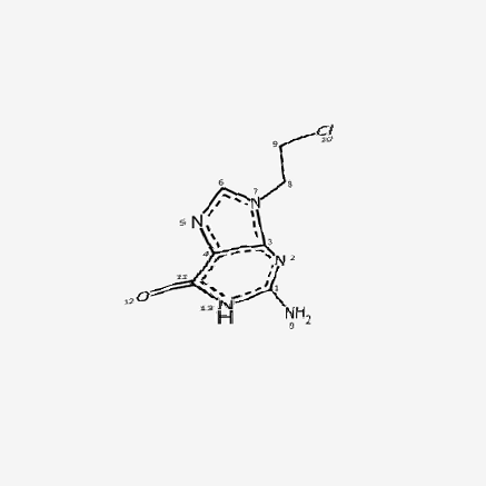 Nc1nc2c(ncn2CCCl)c(=O)[nH]1